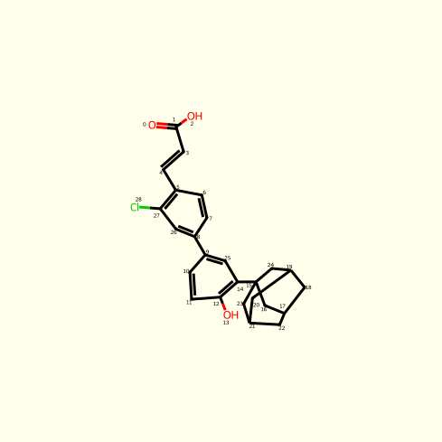 O=C(O)C=Cc1ccc(-c2ccc(O)c(C34CC5CC(CC(C5)C3)C4)c2)cc1Cl